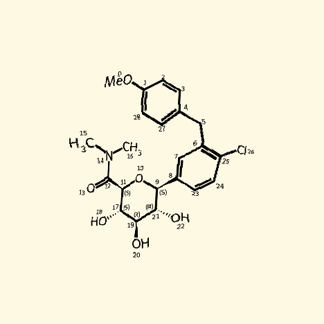 COc1ccc(Cc2cc([C@@H]3O[C@H](C(=O)N(C)C)[C@@H](O)[C@H](O)[C@H]3O)ccc2Cl)cc1